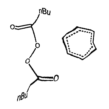 CCCCC(=O)OOC(=O)CCCC.c1ccccc1